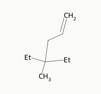 C=CCC(C)(CC)CC